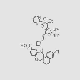 CCC(CCC(/C=C/[C@@H]1CC[C@H]1CN1CC2(CCCc3cc(Cl)ccc32)COc2ccc(C(=O)O)cc21)O[Si](C(C)C)(C(C)C)C(C)C)S(=O)(=O)c1ncccn1